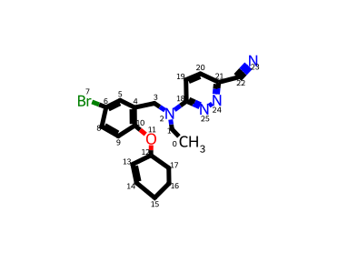 CCN(Cc1cc(Br)ccc1OC1C=CCCC1)c1ccc(C#N)nn1